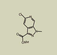 COC(=O)c1nn(C)c2cnc(Cl)cc12